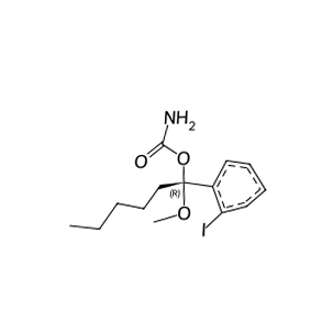 CCCCC[C@@](OC)(OC(N)=O)c1ccccc1I